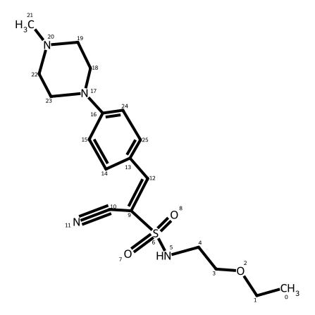 CCOCCNS(=O)(=O)/C(C#N)=C/c1ccc(N2CCN(C)CC2)cc1